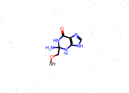 CCCOCC1(N)NC(=O)c2nc[nH]c2N1